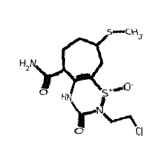 CSC1CCC(C(N)=O)C2=C(C1)[S+]([O-])N(CCCl)C(=O)N2